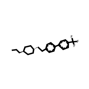 CCC[C@H]1CC[C@H](CCc2ccc(-c3ccc(C(F)(F)F)cc3)cc2)CC1